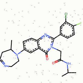 CC(C)NC(=O)Cn1c(-c2ccc(F)c(Cl)c2)nc2ccc(N3CCN=CCC3C)cc2c1=O